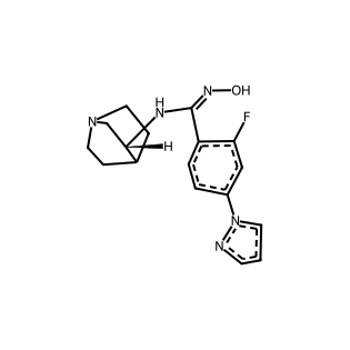 O/N=C(/N[C@H]1CN2CCC1CC2)c1ccc(-n2cccn2)cc1F